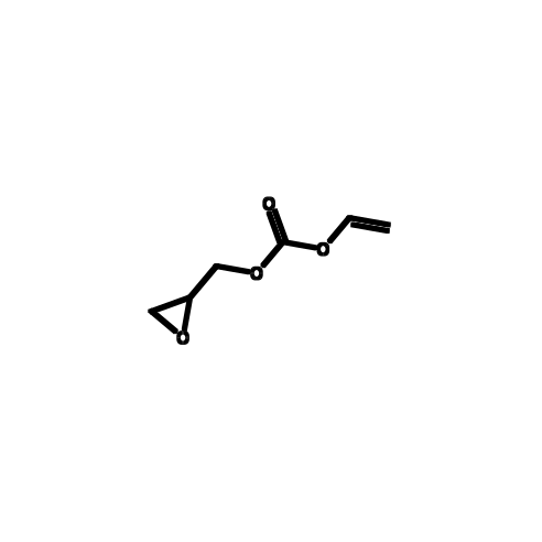 C=COC(=O)OCC1CO1